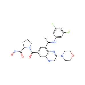 CC(Nc1cc(F)cc(F)c1)c1cc(C(=O)N2CCCC2C(=O)N=O)cc2ncc(N3CCOCC3)nc12